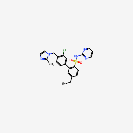 Cc1nccn1Cc1ccc(-c2cc(CC(C)C)ccc2S(=O)(=O)Nc2ncccn2)cc1Cl